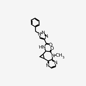 CN1C(=O)C(NC(=O)c2cn(Cc3ccccc3)nn2)C2CC2c2nccnc21